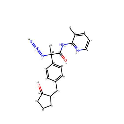 Cc1cccnc1NC(=O)C(C)(N=[N+]=[N-])c1ccc(CC2CCCC2=O)cc1